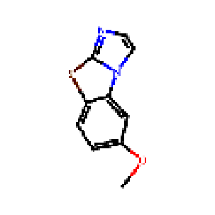 COc1ccc2sc3n[c]cn3c2c1